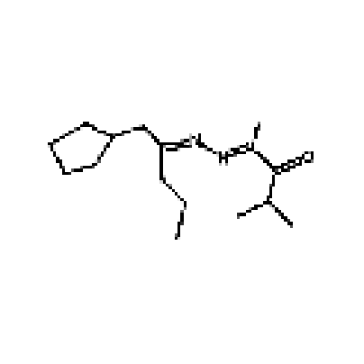 CCC/C(CC1CCCC1)=N\N=C(/C)C(=O)C(C)C